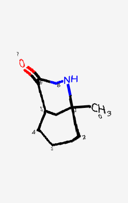 CC12CCCC1C(=O)N2